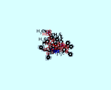 CCCCCCCOP(=O)(O)O[C@@H]1C(OCc2ccccc2)[C@H](OCc2ccccc2)C(OCc2ccccc2)C(C)[C@H]1O[C@H]1OC(COCc2ccccc2)[C@@H](O[C@H]2OC(CO[C@H]3OC(CC)[C@@H](C)[C@H](C)C3O[C@H]3OC(COP(=O)(O)OCCC)[C@@H](C)[C@H](C)C3OCc3ccccc3)[C@@H](O[C@@H]3OC(COCc4ccccc4)[C@H](OCc4ccccc4)[C@H](C)C3NC(C)=O)[C@H](C)C2O)[C@H](C)C1N=[N+]=[N-]